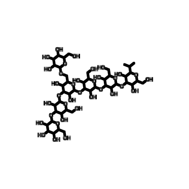 CC(C)C1OC(CO)C(O)C(OC2OC(CO)C(O)C(OC3OC(CO)C(O)C(OC4OC(COC5OC(CO)C(O)C(O)C5O)C(O)C(OC5OC(CO)C(O)C(OC6OC(CO)C(O)C(O)C6O)C5O)C4O)C3O)C2O)C1O